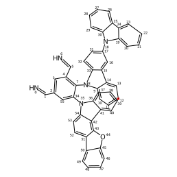 N=Cc1cc(C=N)c(-n2c3ccccc3c3cc(-n4c5ccccc5c5ccccc54)ccc32)c(-n2c3ccccc3c3c4oc5ccccc5c4ccc32)c1